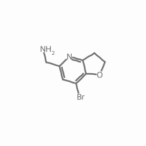 NCc1cc(Br)c2c(n1)CCO2